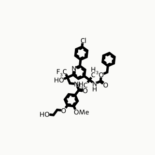 COc1cc(C(=O)NCC(O)(c2cc(C(C)(C)NC(=O)OCc3ccccc3)cc(-c3ccc(Cl)cc3)n2)C(F)(F)F)ccc1OCCO